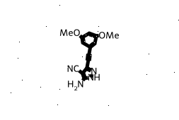 COc1cc(C#Cc2n[nH]c(N)c2C#N)cc(OC)c1